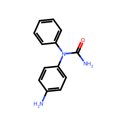 NC(=O)N(c1ccccc1)c1ccc(N)cc1